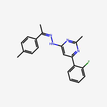 CC(=NNc1cc(-c2ccccc2F)nc(C)n1)c1ccc(C)cc1